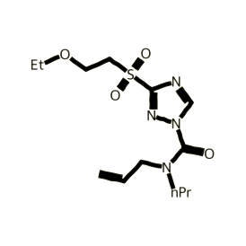 C=CCN(CCC)C(=O)n1cnc(S(=O)(=O)CCOCC)n1